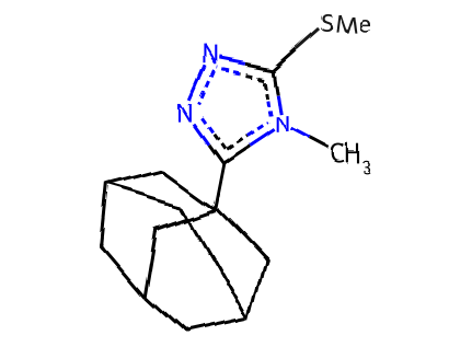 CSc1nnc(C23CC4CC(CC(C4)C2)C3)n1C